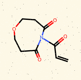 C=CC(=O)N1C(=O)CCOCCC1=O